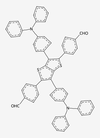 O=Cc1ccc(-c2sc3c(-c4ccc(N(c5ccccc5)c5ccccc5)cc4)c(-c4ccc(C=O)cc4)sc3c2-c2ccc(N(c3ccccc3)c3ccccc3)cc2)cc1